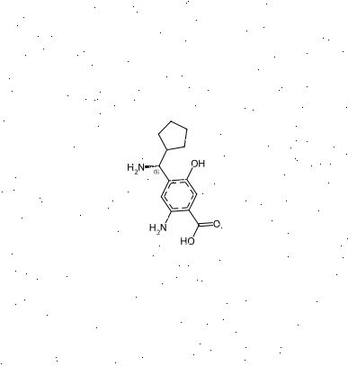 Nc1cc([C@@H](N)C2CCCC2)c(O)cc1C(=O)O